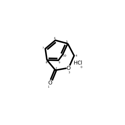 Cl.O=C1OCc2ccc1cc2